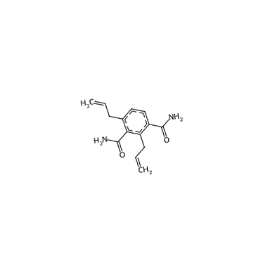 C=CCc1ccc(C(N)=O)c(CC=C)c1C(N)=O